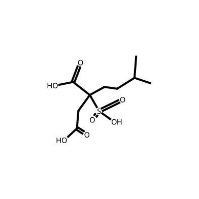 CC(C)CCC(CC(=O)O)(C(=O)O)S(=O)(=O)O